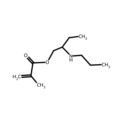 C=C(C)C(=O)OCC(CC)NCCC